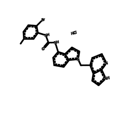 Cc1ccc(Br)c(NC(=O)Nc2cccc3c2ccn3Cc2ccnc3[nH]ccc23)c1.Cl